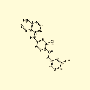 Nc1ncnc(Nc2ccc(OCc3cccc(F)c3)c(Cl)c2)c1C=O